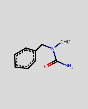 NC(=O)N(C=O)Cc1ccccc1